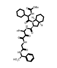 CCCC(NC(=O)[C@@H]1C[C@@H]2CCCC[C@@H]2N1C(=O)C(NC(=O)OCC(C)C)C1CCCCC1)C(=O)C(=O)NCC(=O)N[C@H](C(=O)O)c1ccccc1